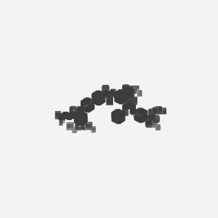 C=C(CCC(F)F)C1=C(CN2CCN(c3ccc(C(=O)NSc4ccc(NC(CCN5CCC(N(C)C(=O)OC(C)(C)C)CC5)CSc5ccccc5)c(S(=O)(=O)C(F)(F)F)c4)cc3)CC2)CCC(C)(C)C1